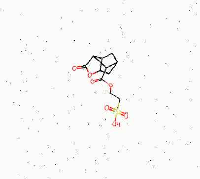 O=C(OCCS(=O)(=O)O)C1C2CC3OC(=O)C1C3C2